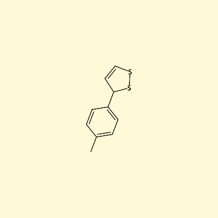 Cc1ccc(C2C=CSS2)cc1